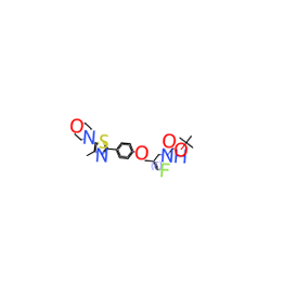 Cc1nc(-c2ccc(OC/C(=C/F)CNC(=O)OC(C)(C)C)cc2)sc1N1CCOCC1